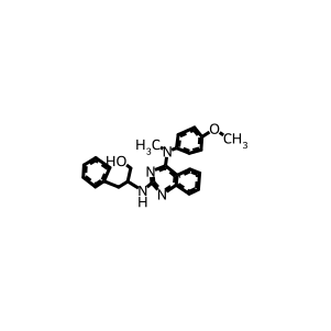 COc1ccc(N(C)c2nc(NC(CO)Cc3ccccc3)nc3ccccc23)cc1